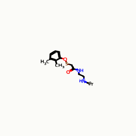 Cc1cccc(OSCC(=O)NCCNC(C)C)c1C